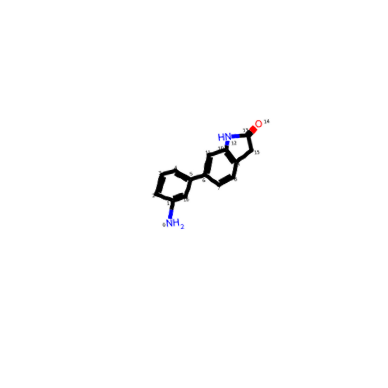 Nc1cccc(-c2ccc3c(c2)NC(=O)C3)c1